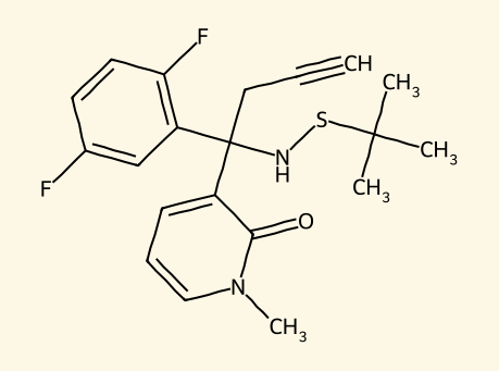 C#CCC(NSC(C)(C)C)(c1cc(F)ccc1F)c1cccn(C)c1=O